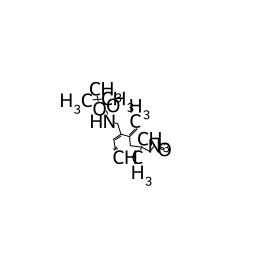 C#C/C=C(CNC(=O)OC(C)(C)C)\C(=C/C)CC(C)(C)CN=O